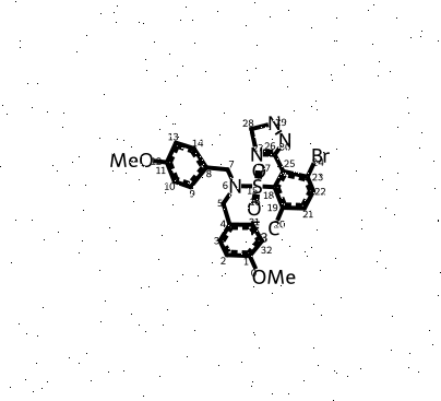 COc1ccc(CN(Cc2ccc(OC)cc2)S(=O)(=O)c2c(C(F)(F)F)ccc(Br)c2C2=NCN=N2)cc1